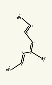 CCCC=CC=C(C=CCCC)C(C)C